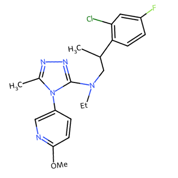 CCN(CC(C)c1ccc(F)cc1Cl)c1nnc(C)n1-c1ccc(OC)nc1